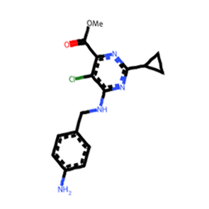 COC(=O)c1nc(C2CC2)nc(NCc2ccc(N)cc2)c1Cl